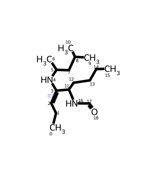 CC/C=C(/NC(C)CC(C)C)C(CCCC)NC=O